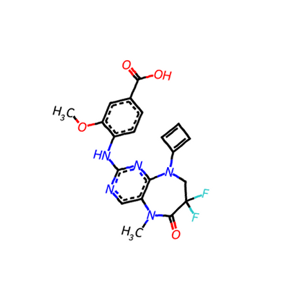 COc1cc(C(=O)O)ccc1Nc1ncc2c(n1)N(C1=CC=C1)CC(F)(F)C(=O)N2C